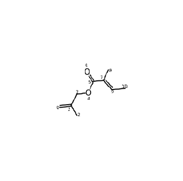 C=C(C)COC(=O)C(C)=CC